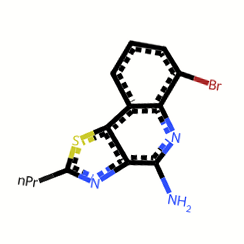 CCCc1nc2c(N)nc3c(Br)cccc3c2s1